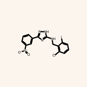 O=[N+]([O-])c1cccc(-c2n[nH]c(NCc3c(Cl)cccc3I)n2)c1